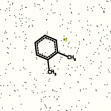 Cc1ccccc1C.[S]